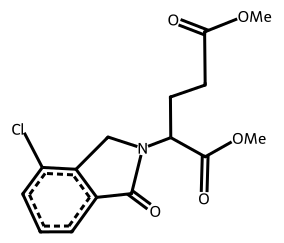 COC(=O)CCC(C(=O)OC)N1Cc2c(Cl)cccc2C1=O